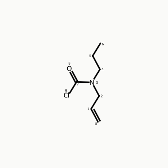 C=CCN(CCC)C(=O)Cl